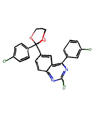 Clc1ccc(C2(c3ccc4nc(Cl)nc(-c5cccc(Cl)c5)c4c3)OCCO2)cc1